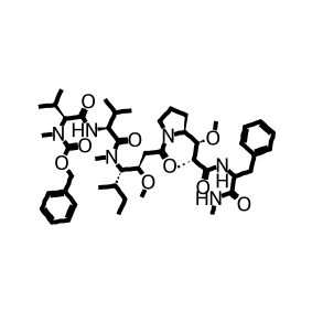 CCC(C)[C@@H]([C@@H](CC(=O)N1CCC[C@H]1[C@H](OC)[C@@H](C)C(=O)NC(Cc1ccccc1)C(=O)NC)OC)N(C)C(=O)[C@@H](NC(=O)[C@H](C(C)C)N(C)C(=O)OCc1ccccc1)C(C)C